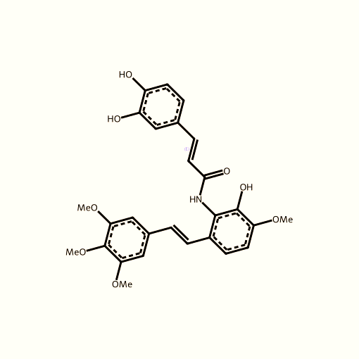 COc1ccc(C=Cc2cc(OC)c(OC)c(OC)c2)c(NC(=O)/C=C/c2ccc(O)c(O)c2)c1O